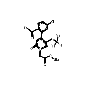 [2H]C([2H])([2H])Oc1cn(CC(=O)OC(C)(C)C)c(=O)cc1-c1cc(Cl)ccc1C(=O)CC